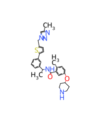 Cc1cn(Cc2ccc(-c3cccc(C(C)NC(=O)c4cc(OC5CCNCC5)ccc4C)c3)s2)nn1